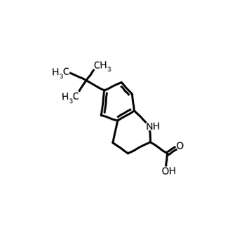 CC(C)(C)c1ccc2c(c1)CCC(C(=O)O)N2